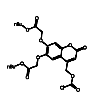 CCCCOC(=O)COc1cc2oc(=O)cc(COC(=O)Cl)c2cc1OCC(=O)OCCCC